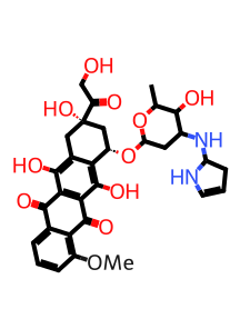 COc1cccc2c1C(=O)c1c(O)c3c(c(O)c1C2=O)C[C@@](O)(C(=O)CO)C[C@@H]3OC1CC(NC2CC=CN2)C(O)C(C)O1